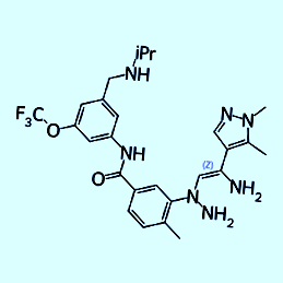 Cc1ccc(C(=O)Nc2cc(CNC(C)C)cc(OC(F)(F)F)c2)cc1N(N)/C=C(\N)c1cnn(C)c1C